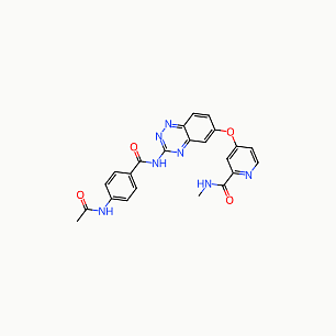 CNC(=O)c1cc(Oc2ccc3nnc(NC(=O)c4ccc(NC(C)=O)cc4)nc3c2)ccn1